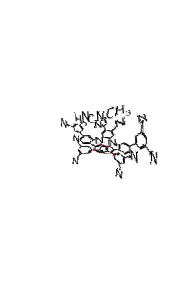 Cc1cc(-c2cc(-n3c4cc(-c5cc(C#N)cc(C#N)c5)ccc4c4ccc(-c5cc(C#N)cc(C#N)c5)cc43)c(-n3c4cc(-c5cc(C#N)cc(C#N)c5)ccc4c4ccc(-c5cc(C#N)cc(C#N)c5)cc43)cc2C#N)nc(C)n1